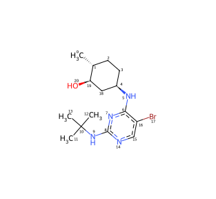 C[C@@H]1CC[C@@H](Nc2nc(NC(C)(C)C)ncc2Br)C[C@H]1O